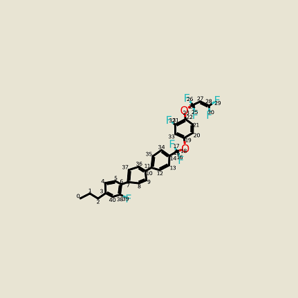 CCCc1ccc(-c2ccc(-c3ccc(C(F)(F)Oc4ccc(OC(F)(F)C=C(F)F)c(F)c4)cc3)cc2)c(F)c1